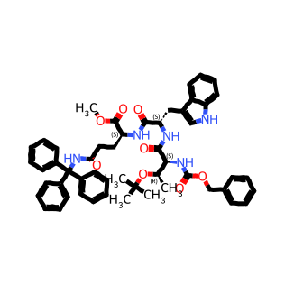 COC(=O)[C@H](CCC(=O)NC(c1ccccc1)(c1ccccc1)c1ccccc1)NC(=O)[C@H](Cc1c[nH]c2ccccc12)NC(=O)[C@@H](NC(=O)OCc1ccccc1)[C@@H](C)OC(C)(C)C